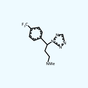 CNCCC(c1ccc(C(F)(F)F)cc1)n1ncnn1